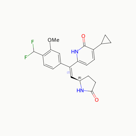 COc1cc(/C(=C/[C@H]2CCC(=O)N2)c2ccc(C3CC3)c(=O)[nH]2)ccc1C(F)F